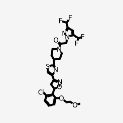 COCCOc1cccc(Cl)c1C1CC(c2csc(C3CCN(C(=O)Cn4nc(C(F)F)cc4C(F)F)CC3)n2)=NO1